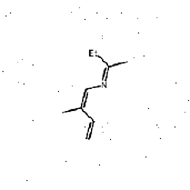 C=C/C(C)=C\N=C(\C)CC